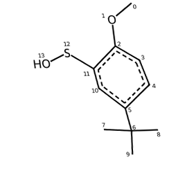 COc1ccc(C(C)(C)C)cc1SO